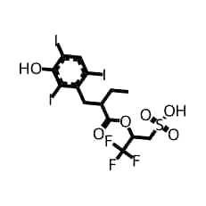 CCC(Cc1c(I)cc(I)c(O)c1I)C(=O)OC(CS(=O)(=O)O)C(F)(F)F